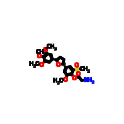 COc1cc([C@H]2CC[C@H](c3cc(OC)c(OCCN)c(S(C)(=O)=O)c3)O2)cc(OC)c1OC